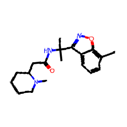 Cc1cccc2c(C(C)(C)NC(=O)CC3CCCCN3C)noc12